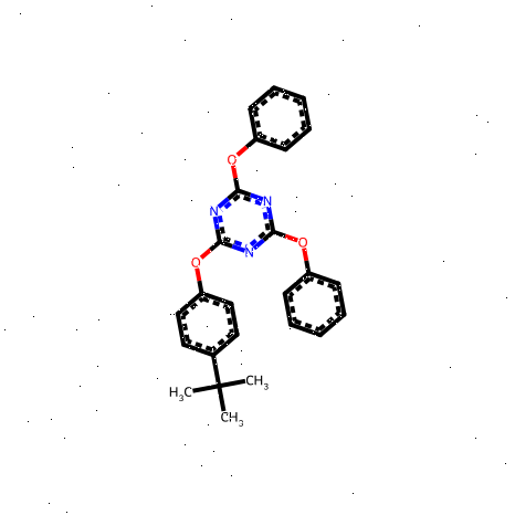 CC(C)(C)c1ccc(Oc2nc(Oc3ccccc3)nc(Oc3ccccc3)n2)cc1